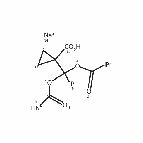 CC(C)C(=O)OC(OC([NH-])=O)(C(C)C)C1(C(=O)O)CC1.[Na+]